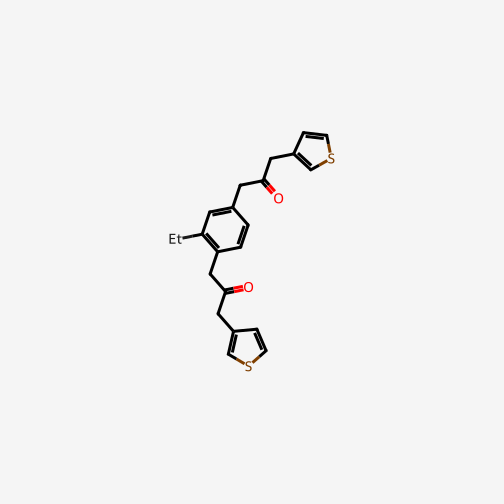 CCc1cc(CC(=O)Cc2ccsc2)ccc1CC(=O)Cc1ccsc1